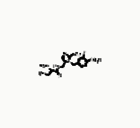 CCCCc1ncc(CNC(=O)C(CC(C)C)SC(C)=O)n1Cc1ccc(C(=O)O)c(F)c1